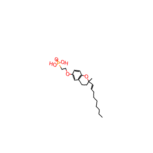 CCCCCCCC=CC1(C)CCc2cc(OCCP(=O)(O)O)ccc2O1